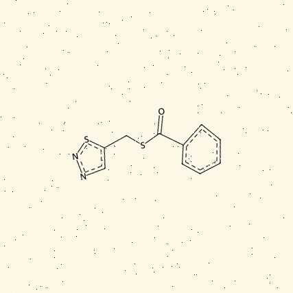 O=C(SCc1cnns1)c1ccccc1